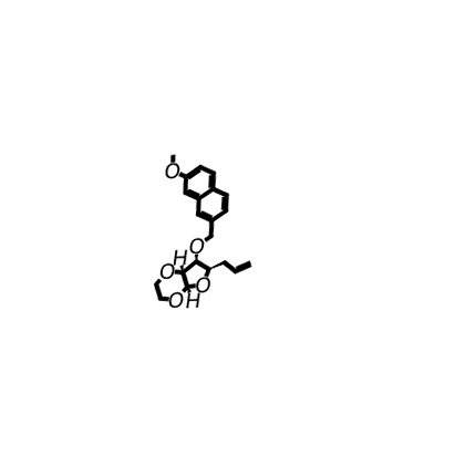 C=CC[C@H]1O[C@@H]2OCCO[C@@H]2[C@H]1OCc1ccc2ccc(OC)cc2c1